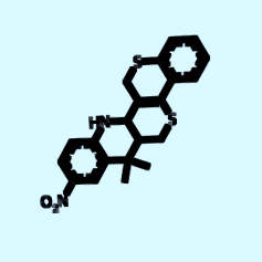 CC1(C)c2cc([N+](=O)[O-])ccc2NC2C3=C(SCC21)c1ccccc1SC3